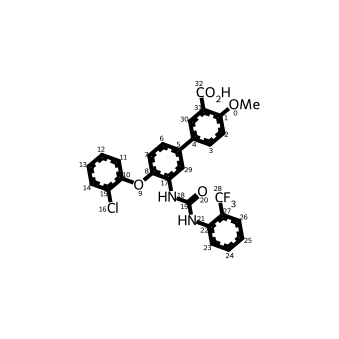 COc1ccc(-c2ccc(Oc3ccccc3Cl)c(NC(=O)Nc3ccccc3C(F)(F)F)c2)cc1C(=O)O